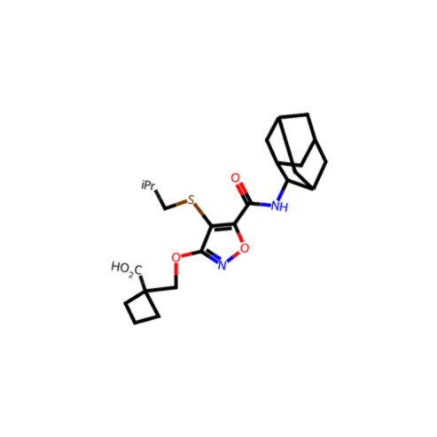 CC(C)CSc1c(OCC2(C(=O)O)CCC2)noc1C(=O)NC1C2CC3CC(C2)CC1C3